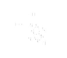 OCC[N+](CCO)c1nc(N2CCCCC2)c2nc(Cl)nc(N3CCCCC3)c2n1